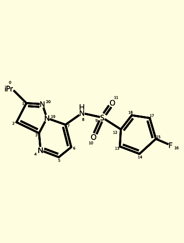 CC(C)c1cc2nccc(NS(=O)(=O)c3ccc(F)cc3)n2n1